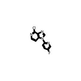 Fc1ccc(-n2cnc3c(Cl)nccc32)nc1